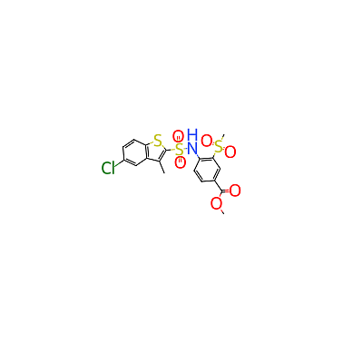 COC(=O)c1ccc(NS(=O)(=O)c2sc3ccc(Cl)cc3c2C)c(S(C)(=O)=O)c1